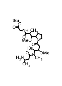 CCC(C)C(C(CC(=O)N1CCCC1C(OC)C(C)C(=O)NCC(=O)OC(C)(C)C)OC)N(C)C(=O)CC(C)N